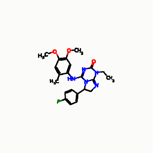 CCN1C(=O)N=C(Nc2cc(OC)c(OC)cc2C)N2C1=NCC2c1ccc(F)cc1